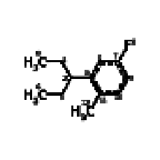 CCC(CC)c1cc(F)ccc1C